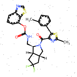 Cc1cccc(-c2sc(C)nc2C(=O)N2C[C@@H]3CC(F)(F)C[C@@H]3[C@H]2CNC(=O)Oc2cccc3ncsc23)c1